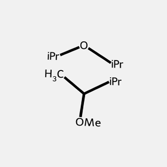 CC(C)OC(C)C.COC(C)C(C)C